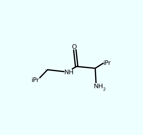 CC(C)[CH]NC(=O)C(N)C(C)C